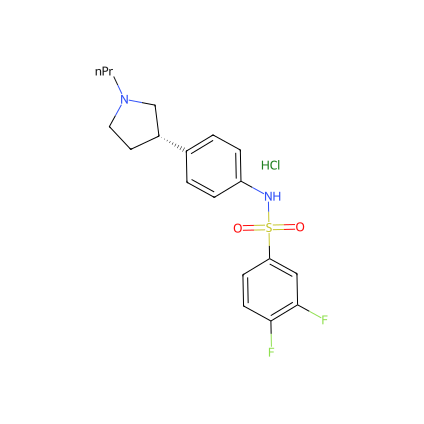 CCCN1CC[C@@H](c2ccc(NS(=O)(=O)c3ccc(F)c(F)c3)cc2)C1.Cl